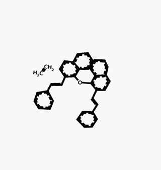 C(=C\c1ccc2ccccc2c1Oc1c(/C=C/c2ccccc2)ccc2ccccc12)/c1ccccc1.C=C